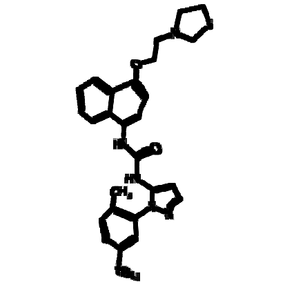 Cc1ccc(C(C)(C)C)cc1-n1nccc1NC(=O)Nc1ccc(OCCN2CCSC2)c2ccccc12